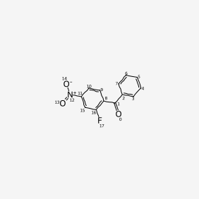 O=C(c1ccccc1)c1ccc([N+](=O)[O-])cc1F